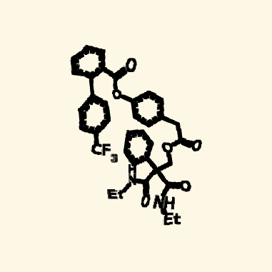 CCNC(=O)C(COC(=O)Cc1ccc(OC(=O)c2ccccc2-c2ccc(C(F)(F)F)cc2)cc1)(C(=O)NCC)c1ccccc1